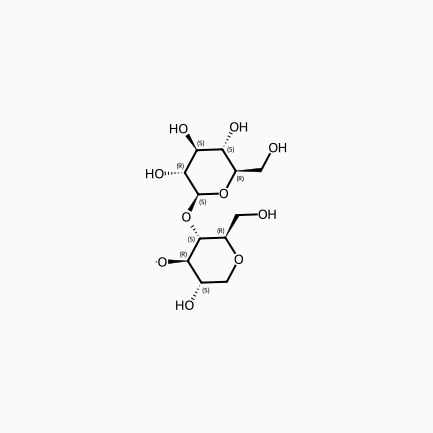 [O][C@H]1[C@H](O[C@@H]2O[C@H](CO)[C@@H](O)[C@H](O)[C@H]2O)[C@@H](CO)OC[C@@H]1O